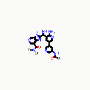 CCN(CC)C(=O)c1cncc2[nH]c(C(=N)c3cc(-c4cncc(NC(=O)C(C)C)c4)cnc3N)nc12